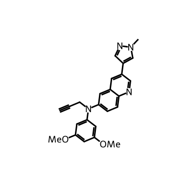 C#CCN(c1cc(OC)cc(OC)c1)c1ccc2ncc(-c3cnn(C)c3)cc2c1